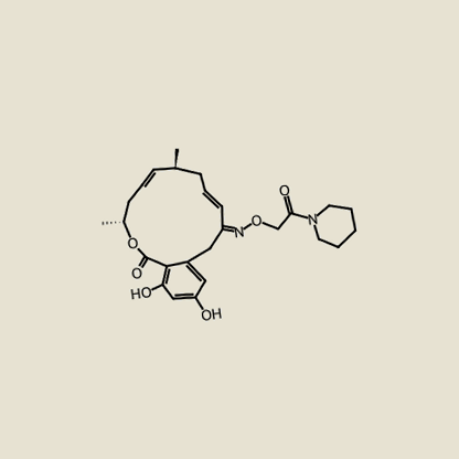 C[C@@H]1/C=C/C[C@@H](C)OC(=O)c2c(O)cc(O)cc2CC(=N/OCC(=O)N2CCCCC2)/C=C/C1